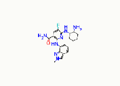 Cn1cc2cccc(Nc3nc(NC4CCCCC4N)c(F)cc3C(N)=O)c2n1